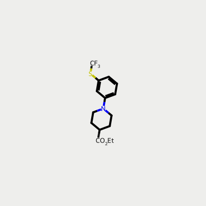 CCOC(=O)C1CCN(c2cccc(SC(F)(F)F)c2)CC1